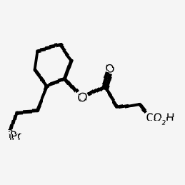 CC(C)CCC1CCCCC1OC(=O)CCC(=O)O